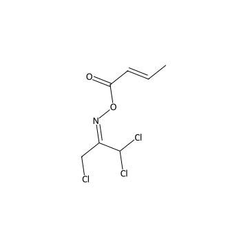 C/C=C/C(=O)ON=C(CCl)C(Cl)Cl